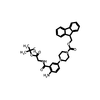 CC(C)(C)OC(=O)CNC(=O)c1cc(N2CCN(C(=O)OCC3c4ccccc4-c4ccccc43)CC2)ccc1N